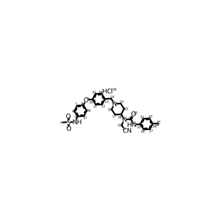 CS(=O)(=O)Nc1ccc(Oc2ccc(CN3CCC(N(CC#N)C(=O)Nc4ccc(F)cc4)CC3)cc2)cc1.Cl